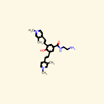 Cc1c[n+](C)ccc1/C=C/c1cc(C(=O)NCCN)cc(/C=C/c2cc[n+](C)cc2C)c1O